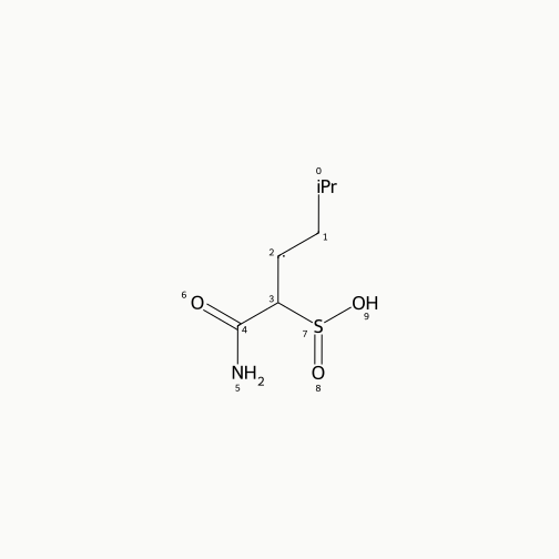 CC(C)C[CH]C(C(N)=O)S(=O)O